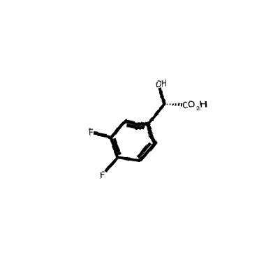 O=C(O)[C@@H](O)c1ccc(F)c(F)c1